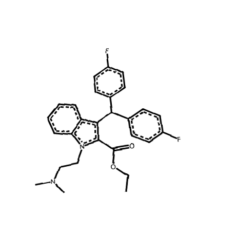 CCOC(=O)c1c(C(c2ccc(F)cc2)c2ccc(F)cc2)c2ccccc2n1CCN(C)C